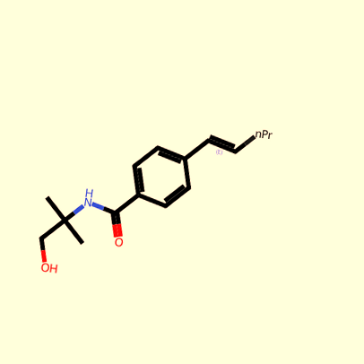 CCC/C=C/c1ccc(C(=O)NC(C)(C)CO)cc1